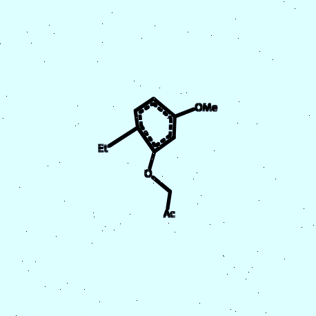 CCc1ccc(OC)cc1OCC(C)=O